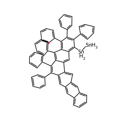 [SnH3][SnH2][c]1c(-c2ccccc2)c(-c2ccccc2)c(-c2ccccc2)c2c(-c3ccccc3)c3c(-c4ccccc4)c(-c4ccccc4)c4cc5cc6ccccc6cc5cc4c3cc12